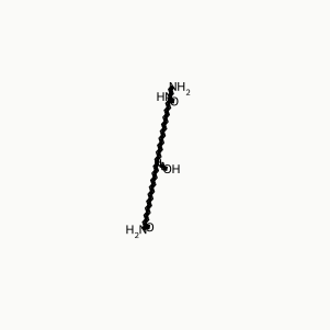 NCCNC(=O)CCCCCCCCCCCCCCCCCN(CCO)CCCCCCCCCCCCCCCCCC(N)=O